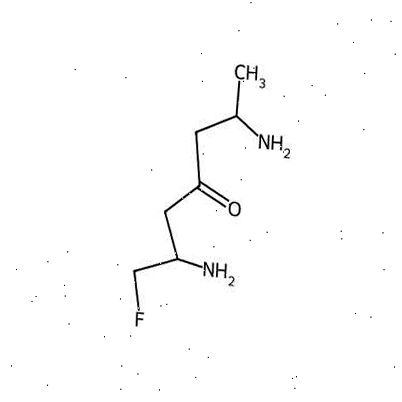 CC(N)CC(=O)CC(N)CF